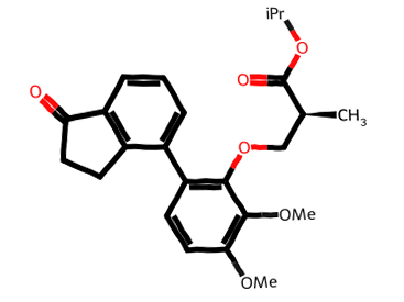 COc1ccc(-c2cccc3c2CCC3=O)c(OC[C@H](C)C(=O)OC(C)C)c1OC